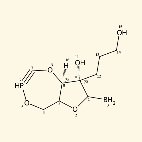 BC1OC2CO[PH]#CO[C@H]2[C@@]1(O)CCCO